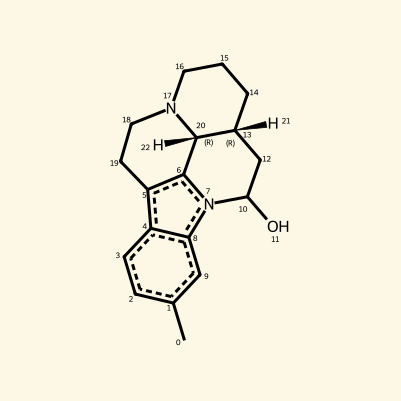 Cc1ccc2c3c4n(c2c1)C(O)C[C@H]1CCCN(CC3)[C@@H]41